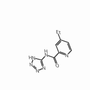 CCc1ccnc(C(=O)Nc2nnn[nH]2)c1